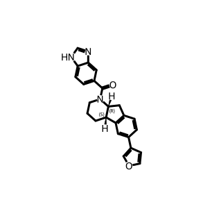 O=C(c1ccc2[nH]cnc2c1)N1CCC[C@H]2c3cc(-c4ccoc4)ccc3C[C@H]21